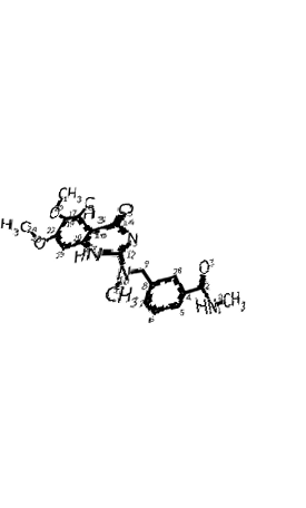 CNC(=O)c1cccc(CN(C)c2nc(=O)c3c(C)c(OC)c(OC)cc3[nH]2)c1